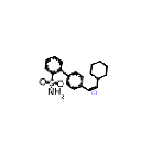 NS(=O)(=O)c1ccccc1-c1ccc(/C=C\C2CCCCC2)cc1